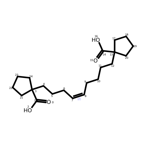 O=C(O)C1(CCC/C=C\CCCCC2(C(=O)O)CCCC2)CCCC1